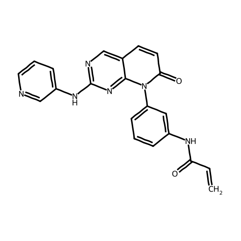 C=CC(=O)Nc1cccc(-n2c(=O)ccc3cnc(Nc4cccnc4)nc32)c1